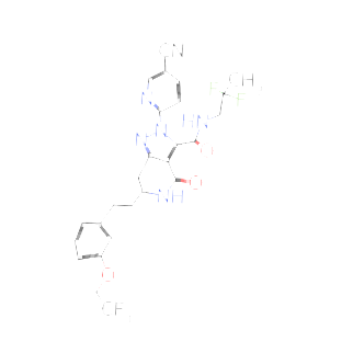 CC(F)(F)CNC(=O)c1c2c(nn1-c1ccc(C#N)cn1)CC(CCc1cccc(OCC(F)(F)F)c1)NC2=O